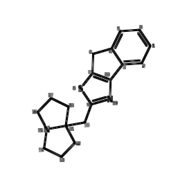 c1ccc2c(c1)Cc1sc(CC34CCCN3CCC4)nc1-2